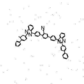 CC1CC(c2nc(-c3ccc(-c4ccc(-c5ccc(-c6nc(-c7ccc(-c8ccccc8)cc7)nc7ccccc67)cc5)cc4C#N)cc3)c3ccccc3n2)=CC=C1c1ccccc1